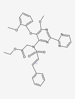 CCOC(=O)CN(c1nc(-c2ncccn2)nc(OC)c1Oc1ccccc1OC)S(=O)(=O)/C=C/c1ccccc1